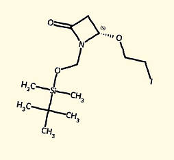 CC(C)(C)[Si](C)(C)OCN1C(=O)C[C@@H]1OCCI